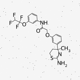 CC1(c2cccc(OCC(=O)Nc3cccc(OC(F)(F)C(F)F)c3)c2)CCSC(N)=N1